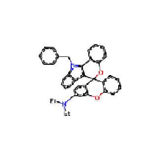 CCN(CC)c1ccc2c(c1)Oc1ccccc1C21Oc2ccccc2-c2c1c1ccccc1n2Cc1ccccc1